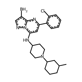 Bc1cnn2c(NC3CCN(C4CCCC(C)C4)CC3)cc(-c3ccccc3Cl)nc12